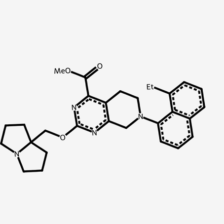 CCc1cccc2cccc(N3CCc4c(nc(OCC56CCCN5CCC6)nc4C(=O)OC)C3)c12